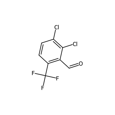 O=Cc1c(C(F)(F)F)ccc(Cl)c1Cl